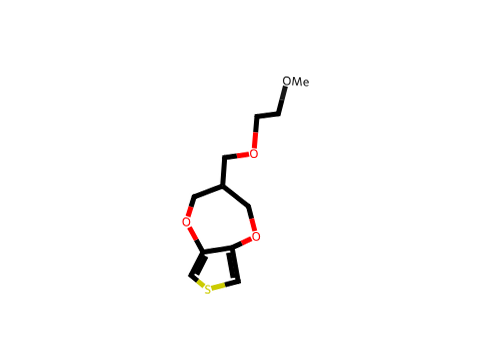 COCCOCC1COc2cscc2OC1